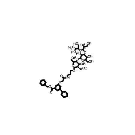 CC(=O)NC1C(OCCCNC(=O)COc2cc(C(=O)OCc3ccccc3)cc(-c3ccccc3)c2)OC(CO)C(OC2OC(CO)C(O)C(OC(OC(CO)[C@@H](C)O)[C@@H](O)CO)C2O)C1O